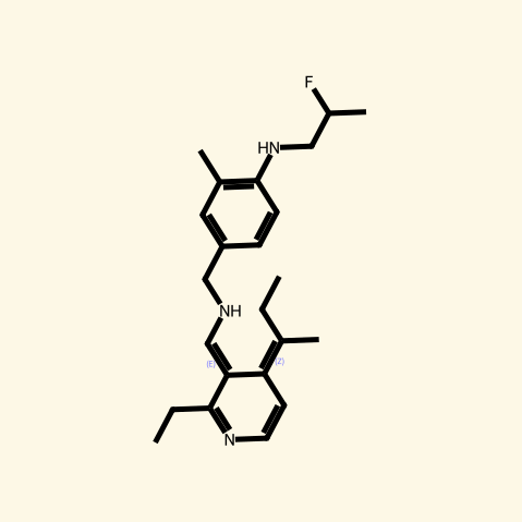 CC/C(C)=c1/ccnc(CC)/c1=C/NCc1ccc(NCC(C)F)c(C)c1